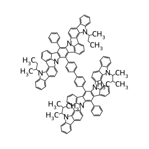 CCC(C)n1c2ccccc2c2ccc3c(c4cccc5c6c(-c7ccc(-c8ccc(-c9c%10c%11cccc%12c%13c%14c(ccc%13n(c%10c(-c%10ccccc%10)c%10c%13cccc%15c%16c%17c(ccc%16n(c9%10)c%13%15)c9ccccc9n%17C(C)C(C)C)c%11%12)c9ccccc9n%14C(C)C(C)C)cc8)cc7)c7c(c(-c8ccccc8)c6n3c54)c3cccc4c5c6c(ccc5n7c34)c3ccccc3n6C(C)CC)c21